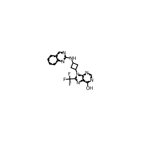 Oc1ncnc2c1nc(C(F)(F)F)n2C1CC(Nc2ncc3ccccc3n2)C1